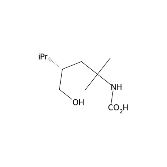 CC(C)[C@@H](CO)CC(C)(C)NC(=O)O